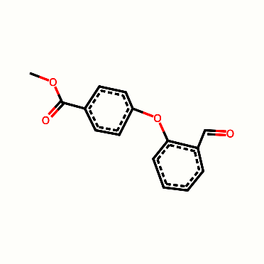 COC(=O)c1ccc(Oc2ccccc2C=O)cc1